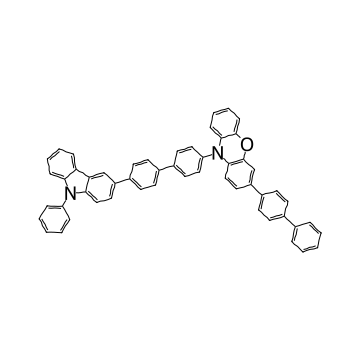 c1ccc(-c2ccc(-c3ccc4c(c3)Oc3ccccc3N4c3ccc(-c4ccc(-c5ccc6c(c5)c5ccccc5n6-c5ccccc5)cc4)cc3)cc2)cc1